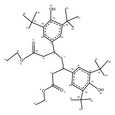 CCOC(=O)CC(SC(CC(=O)OCC)c1cc(C(C)(C)C)c(O)c(C(C)(C)C)c1)c1cc(C(C)(C)C)c(O)c(C(C)(C)C)c1